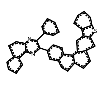 c1ccc(-c2nc3ccc4ccccc4c3nc2-c2ccc3c(ccc4ccc5cc6sc7ccccc7c6cc5c43)c2)cc1